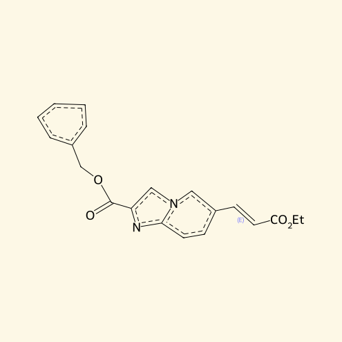 CCOC(=O)/C=C/c1ccc2nc(C(=O)OCc3ccccc3)cn2c1